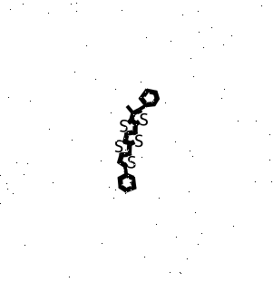 Cc1c(-c2ccccc2)sc2c1sc1c2sc2c3sc(-c4ccccc4)cc3sc21